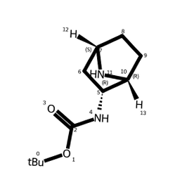 CC(C)(C)OC(=O)N[C@@H]1C[C@@H]2CC[C@H]1N2